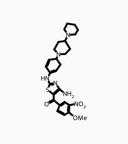 COc1ccc(C(=O)c2sc(NC3=CCC(N4CCC(N5CCCCC5)CC4)C=C3)nc2N)cc1[N+](=O)[O-]